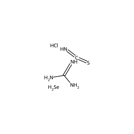 Cl.N=C(N)N.N=C=S.[SeH2]